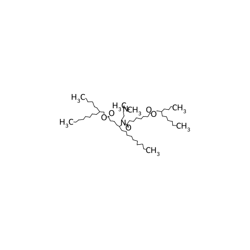 CCCCCCCCCCC(CCCC(=O)OCC(CCCCCC)CCCCCCCC)N(CCCN(C)C)C(=O)CCCCCCC(=O)OCC(CCCC)CCCCCC